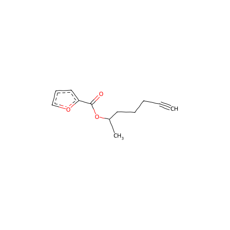 C#CCCCC(C)OC(=O)c1ccco1